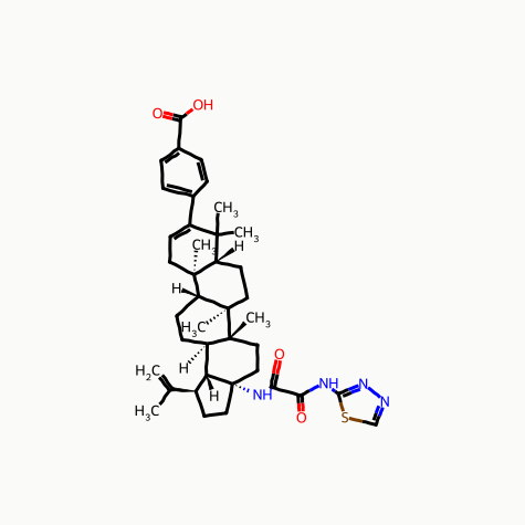 C=C(C)[C@@H]1CC[C@]2(NC(=O)C(=O)Nc3nncs3)CC[C@]3(C)[C@H](CC[C@@H]4[C@@]5(C)CC=C(c6ccc(C(=O)O)cc6)C(C)(C)[C@@H]5CC[C@]43C)[C@@H]12